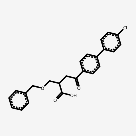 O=C(CC(COCc1ccccc1)C(=O)O)c1ccc(-c2ccc(Cl)cc2)cc1